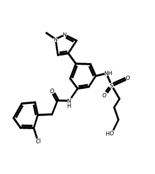 Cn1cc(-c2cc(NC(=O)Cc3ccccc3Cl)cc(NS(=O)(=O)CCCO)c2)cn1